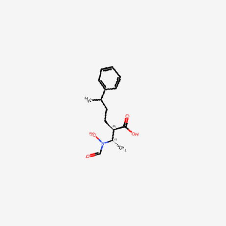 CC(CC[C@@H](C(=O)O)[C@H](C)N(O)C=O)c1ccccc1